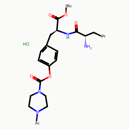 CC(=O)N1CCN(C(=O)Oc2ccc(C[C@H](NC(=O)[C@@H](N)CC(C)C)C(=O)OC(C)(C)C)cc2)CC1.Cl